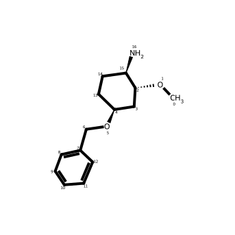 CO[C@@H]1C[C@@H](OCc2ccccc2)CC[C@H]1N